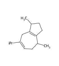 CC(C)C1=CCC(C)C2=C(C1)C(C)CC2